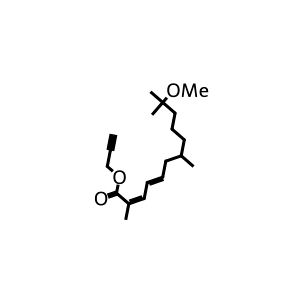 C#CCOC(=O)C(C)=CC=CCC(C)CCCC(C)(C)OC